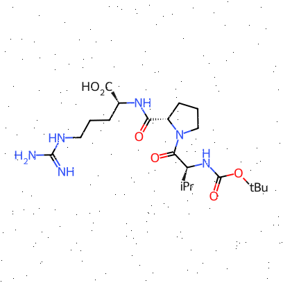 CC(C)[C@H](NC(=O)OC(C)(C)C)C(=O)N1CCC[C@H]1C(=O)N[C@@H](CCCNC(=N)N)C(=O)O